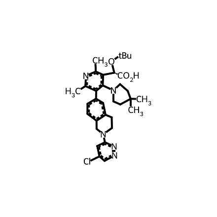 Cc1nc(C)c([C@H](OC(C)(C)C)C(=O)O)c(N2CCC(C)(C)CC2)c1-c1ccc2c(c1)CCN(c1cc(Cl)cnn1)C2